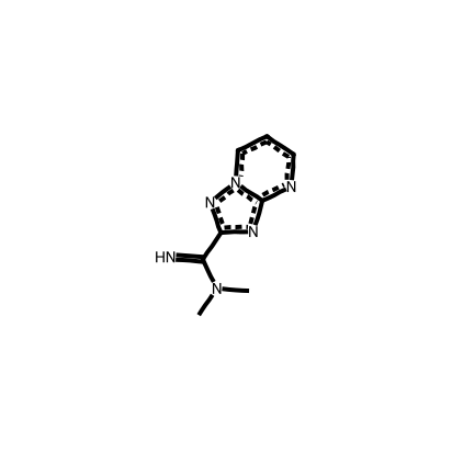 CN(C)C(=N)c1nc2ncccn2n1